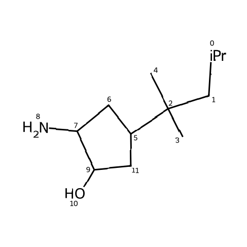 CC(C)CC(C)(C)C1CC(N)C(O)C1